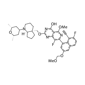 C#Cc1c(F)ccc2cc(OCOC)cc(-c3nc(OC)c4c(O)nc(OC[C@]56CCC[C@H]5N(C5C[C@@H](C)O[C@@H](C)C5)CCC6)nc4c3F)c12